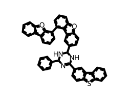 c1ccc(C2N=C(c3ccc4sc5ccccc5c4c3)NC(c3ccc4oc5cccc(-c6cccc7c6oc6ccccc67)c5c4c3)N2)cc1